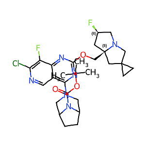 CC(C)(C)OC(=O)N1C2CCC1CN(c1nc(OC[C@@]34C[C@@H](F)CN3CC3(CC3)C4)nc3c(F)c(Cl)ncc13)C2